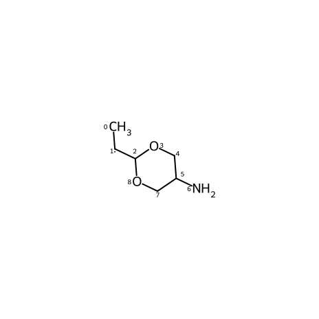 C[CH]C1OCC(N)CO1